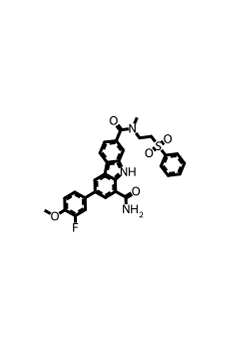 COc1ccc(-c2cc(C(N)=O)c3[nH]c4cc(C(=O)N(C)CCS(=O)(=O)c5ccccc5)ccc4c3c2)cc1F